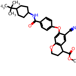 COC(=O)C1CCOc2cc(Oc3ccc(C(=O)NC4CCC(C(C)(C)C)CC4)cc3)c(C#N)cc21